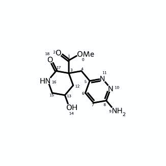 COC(=O)C1(Cc2ccc(N)nn2)CC(O)CNC1=O